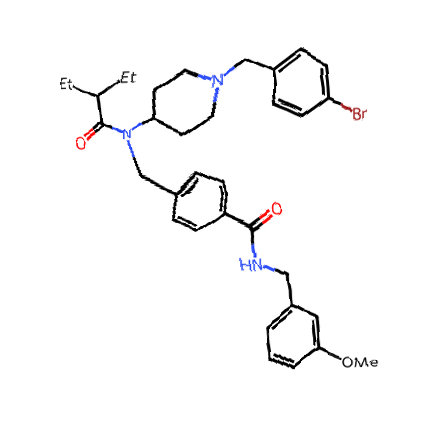 CCC(CC)C(=O)N(Cc1ccc(C(=O)NCc2cccc(OC)c2)cc1)C1CCN(Cc2ccc(Br)cc2)CC1